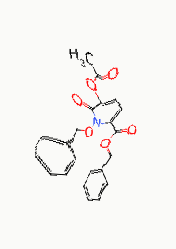 CC(=O)Oc1ccc(C(=O)OCc2ccccc2)n(OCc2ccccc2)c1=O